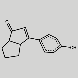 O=C1C=C(c2ccc(O)cc2)C2CCCC12